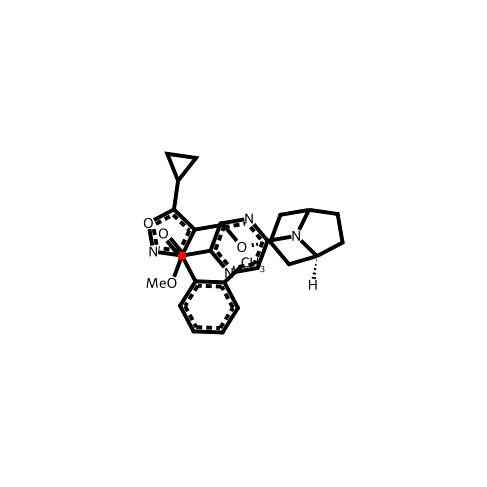 COC(=O)c1cnc(N2C3CC[C@H]2C[C@H](OCc2c(-c4ccccc4C)noc2C2CC2)C3)cn1